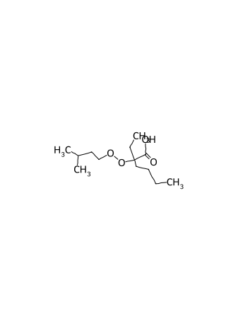 CCCCC(CC)(OOCCC(C)C)C(=O)O